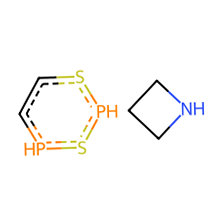 C1CNC1.c1cs[pH]s[pH]1